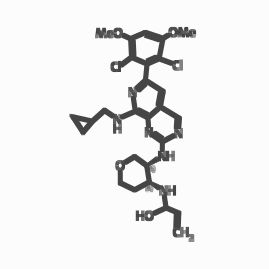 C=CC(O)N[C@H]1CCOC[C@H]1Nc1ncc2cc(-c3c(Cl)c(OC)cc(OC)c3Cl)nc(NCC3CC3)c2n1